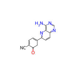 N#CC1=CC=C(c2ccc3ncnc(N)c3n2)CC1=O